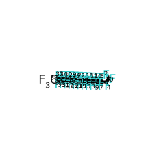 FC(F)=C(F)C(F)(F)C(F)(F)C(F)(F)C(F)(F)C(F)(F)C(F)(F)C(F)(F)C(F)(F)C(F)(F)C(F)(F)C(F)(F)C(F)(F)F